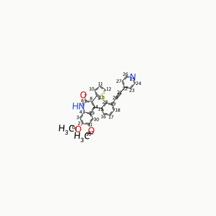 COc1cc2[nH]c(=O)c(-c3cccs3)c(-c3cccc(C#Cc4ccncc4)c3)c2cc1OC